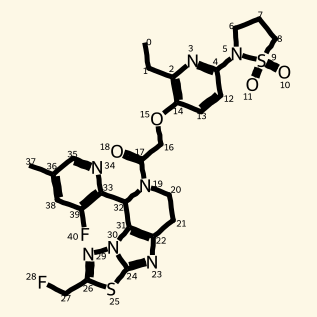 CCc1nc(N2CCCS2(=O)=O)ccc1OCC(=O)N1CCc2nc3sc(CF)nn3c2C1c1ncc(C)cc1F